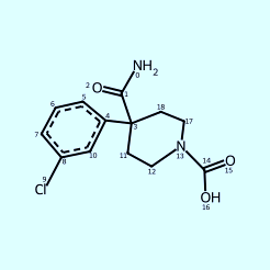 NC(=O)C1(c2cccc(Cl)c2)CCN(C(=O)O)CC1